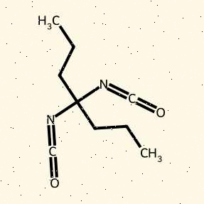 CCCC(CCC)(N=C=O)N=C=O